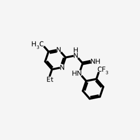 CCc1cc(C)nc(NC(=N)Nc2ccccc2C(F)(F)F)n1